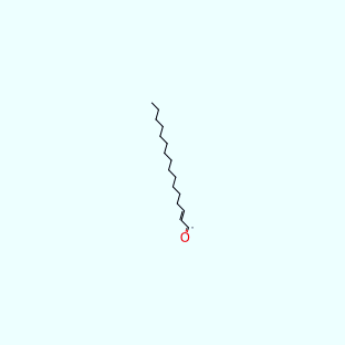 CCCCCCCCCCCCCC=C[C]=O